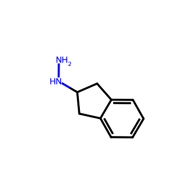 NNC1Cc2ccccc2C1